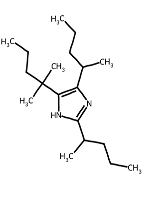 CCCC(C)c1nc(C(C)CCC)c(C(C)(C)CCC)[nH]1